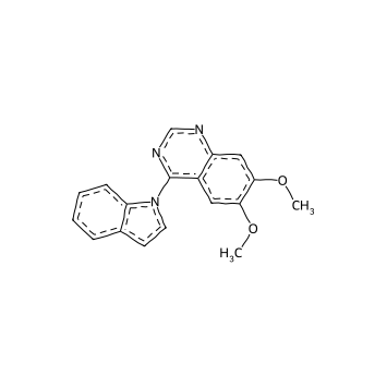 COc1cc2ncnc(-n3ccc4ccccc43)c2cc1OC